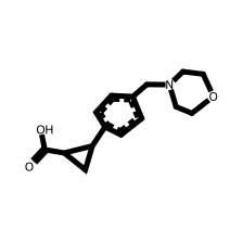 O=C(O)C1CC1c1ccc(CN2CCOCC2)cc1